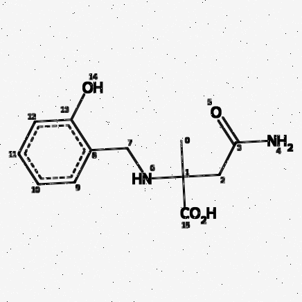 CC(CC(N)=O)(NCc1ccccc1O)C(=O)O